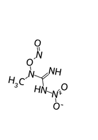 CN(ON=O)C(=N)N[N+](=O)[O-]